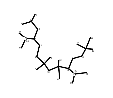 CC(C)CC(CCC(C)(C)CC(C)(C)C(CCC(C)(C)C)N(C)C)N(C)C